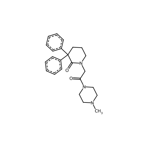 CN1CCN(C(=O)CN2CCCC(c3ccccc3)(c3ccccc3)C2=O)CC1